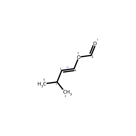 CC(C)/C=C/O[C]=O